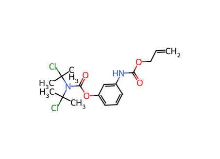 C=CCOC(=O)Nc1cccc(OC(=O)N(C(C)(C)Cl)C(C)(C)Cl)c1